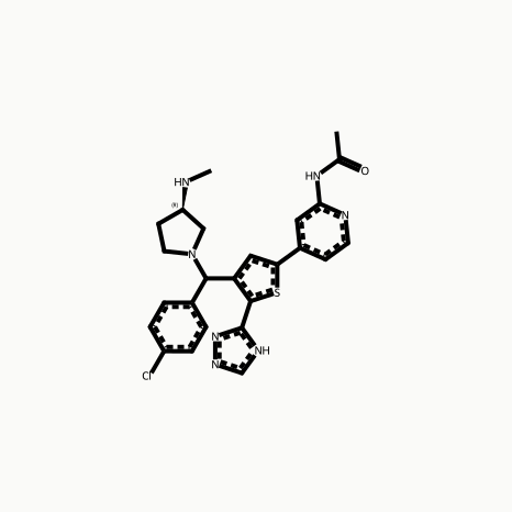 CN[C@@H]1CCN(C(c2ccc(Cl)cc2)c2cc(-c3ccnc(NC(C)=O)c3)sc2-c2nnc[nH]2)C1